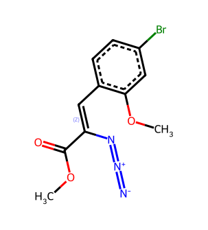 COC(=O)/C(=C/c1ccc(Br)cc1OC)N=[N+]=[N-]